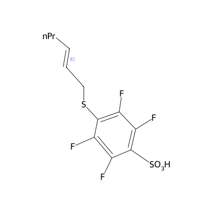 CCC/C=C/CSc1c(F)c(F)c(S(=O)(=O)O)c(F)c1F